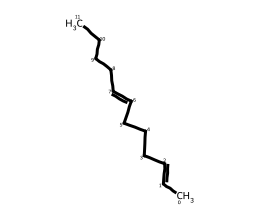 C/C=C/CCC/C=C/CCCC